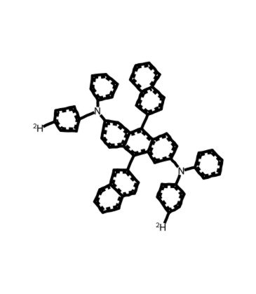 [2H]c1ccc(N(c2ccccc2)c2ccc3c(-c4ccc5ccccc5c4)c4cc(N(c5ccccc5)c5ccc([2H])cc5)ccc4c(-c4ccc5ccccc5c4)c3c2)cc1